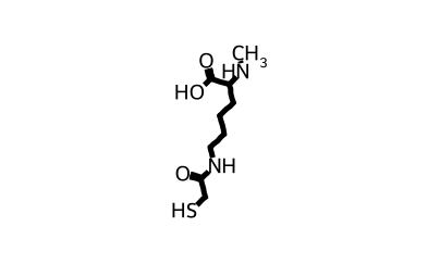 CNC(CCCCNC(=O)CS)C(=O)O